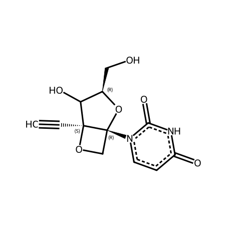 C#C[C@@]12OC[C@@]1(n1ccc(=O)[nH]c1=O)O[C@H](CO)C2O